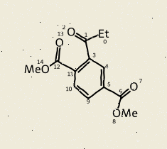 CCC(=O)c1cc(C(=O)OC)ccc1C(=O)OC